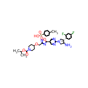 CC(C)OC(=O)N1CCC(OCc2noc(-c3cnc(N4C[C@H](c5ccc(F)cc5F)[C@@H](N)C4)nc3)n2)CC1.Cc1ccc(S(=O)(=O)O)cc1